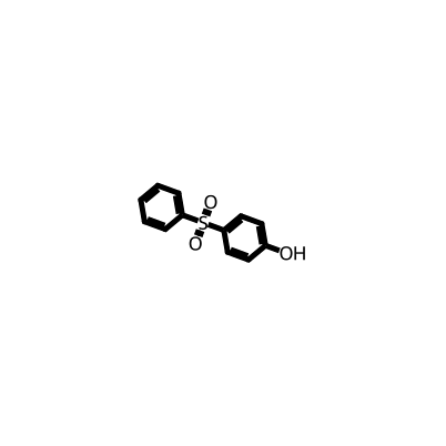 O=S(=O)(c1ccccc1)c1ccc(O)cc1